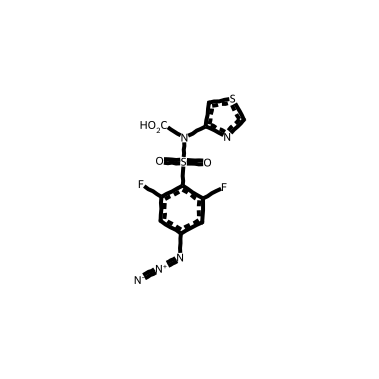 [N-]=[N+]=Nc1cc(F)c(S(=O)(=O)N(C(=O)O)c2cscn2)c(F)c1